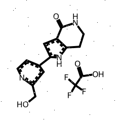 O=C(O)C(F)(F)F.O=C1NCCc2[nH]c(-c3ccnc(CO)c3)cc21